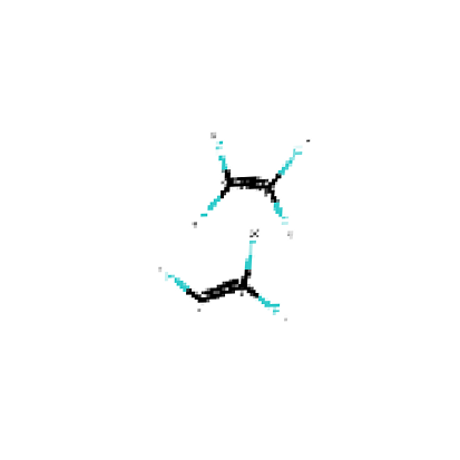 FC(F)=C(F)F.FC=C(F)F